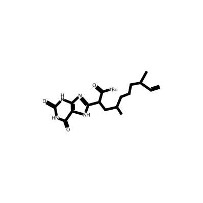 C=CC(C)CCCC(C)CC(C(=O)C(C)(C)C)c1nc2[nH]c(=O)[nH]c(=O)c2[nH]1